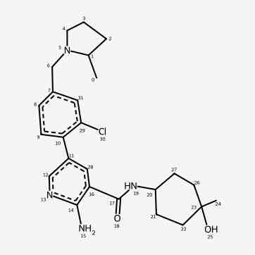 CC1CCCN1Cc1ccc(-c2cnc(N)c(C(=O)NC3CCC(C)(O)CC3)c2)c(Cl)c1